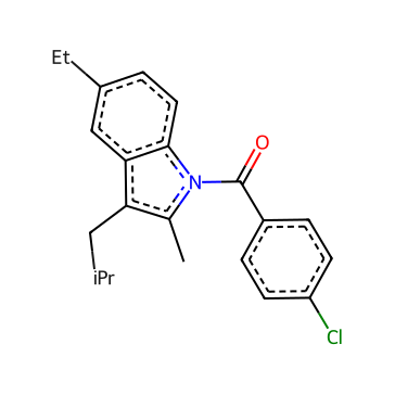 CCc1ccc2c(c1)c(CC(C)C)c(C)n2C(=O)c1ccc(Cl)cc1